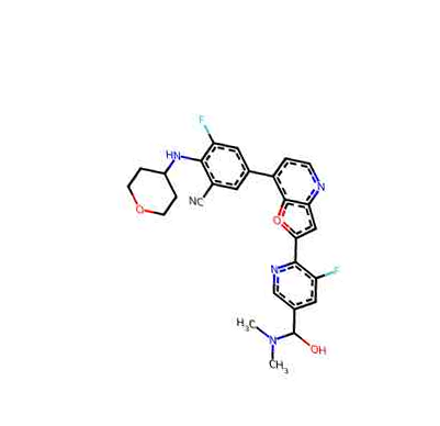 CN(C)C(O)c1cnc(-c2cc3nccc(-c4cc(F)c(NC5CCOCC5)c(C#N)c4)c3o2)c(F)c1